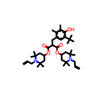 C=CCN1C(C)(C)CC(OC(=O)C(Cc2cc(C(C)(C)C)c(O)c(C)c2C)C(=O)OC2CC(C)(C)N(CC=C)C(C)(C)C2)CC1(C)C